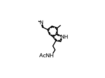 CN=Cc1cc(C)c2[nH]cc(CCNC(C)=O)c2c1